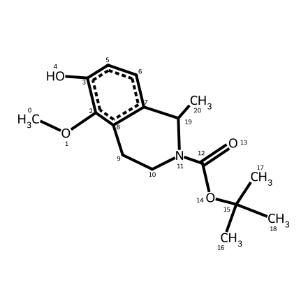 COc1c(O)ccc2c1CCN(C(=O)OC(C)(C)C)C2C